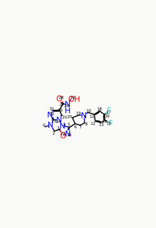 CN(Cc1nc(C2CCN(Cc3ccc(F)c(F)c3)CC2)no1)c1ncc(C(=O)NO)cn1